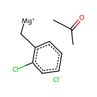 CC(C)=O.[Cl-].[Mg+][CH2]c1ccccc1Cl